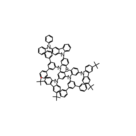 CC(C)(C)c1ccc2c(c1)c1cc(C(C)(C)C)ccc1n2-c1ccc2c(c1)N(c1cc(-c3ccccc3)cc(-c3ccccc3)c1)c1cc(-n3c4ccc(C(C)(C)C)cc4c4cc(C(C)(C)C)ccc43)cc3c1B2c1ccc(-n2c4ccccc4c4cc(N(c5ccccc5)c5ccccc5)ccc42)cc1N3c1cc(-c2ccccc2)cc(-c2ccccc2)c1